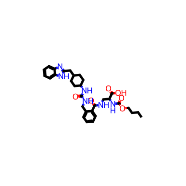 CCCCOC(=O)NC(CNC(=O)c1ccccc1CNC(=O)NC1CCC(Cc2nc3ccccc3[nH]2)CC1)C(=O)O